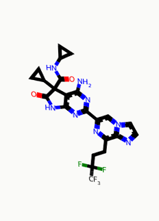 Nc1nc(-c2cn3ccnc3c(CCC(F)(F)C(F)(F)F)n2)nc2c1C(C(=O)NC1CC1)(C1CC1)C(=O)N2